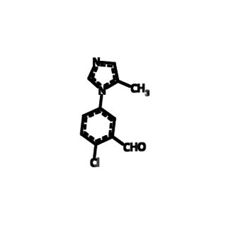 Cc1cncn1-c1ccc(Cl)c(C=O)c1